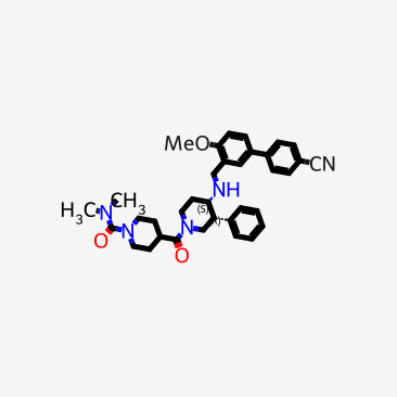 COc1ccc(-c2ccc(C#N)cc2)cc1CN[C@H]1CCN(C(=O)C2CCN(C(=O)N(C)C)CC2)C[C@H]1c1ccccc1